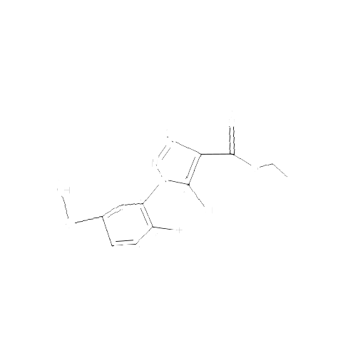 CCOC(=O)c1nnn(-c2cc(OC)ccc2F)c1Cl